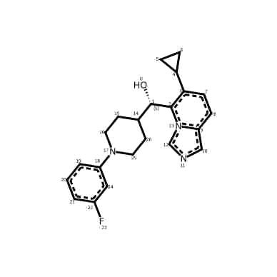 O[C@H](c1c(C2CC2)ccc2cncn12)C1CCN(c2cccc(F)c2)CC1